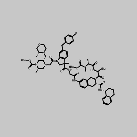 C[C@@H]1COCCN1C[C@H]1CN(C(=O)OC(C)(C)C)[C@H](C)CN1CC(=O)N1CC(C)(C(=O)NCC(=O)Nc2ccc3c(c2)CN(C(=O)C(NC(=O)[C@H](C)N(C)C(=O)OC(C)(C)C)C(C)(C)C)[C@H](C(=O)N[C@@H]2CCCc4ccccc42)C3)c2ccc(Cc3ccc(F)cc3)cc21